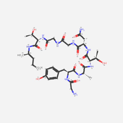 CC(C)[C@H](NC(=O)[C@H](Cc1ccc(O)cc1)NC(=O)CN)C(=O)N[C@H](C(=O)N[C@@H](CC(N)=O)C(=O)NCC(=O)NCC(=O)N[C@H](C(=O)N[C@@H](CCC(=O)O)C(=O)O)[C@@H](C)O)[C@@H](C)O